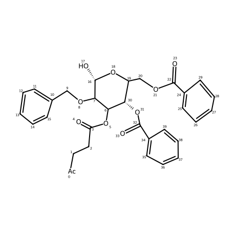 CC(=O)CCC(=O)OC1C(OCc2ccccc2)[C@H](O)OC(COC(=O)c2ccccc2)[C@@H]1OC(=O)c1ccccc1